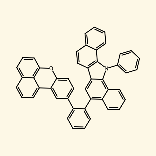 c1ccc(-n2c3c4ccccc4ccc3c3cc(-c4ccccc4-c4ccc5c(c4)-c4cccc6cccc(c46)O5)c4ccccc4c32)cc1